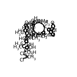 CC(=O)O.CC(=O)O[C@]1(C(C)=O)CC[C@H]2[C@@H]3C=C(C)C4=CC(=O)CC[C@]4(C)[C@H]3CC[C@@]21C.CN(CCCl)CCCl.COc1cc2cc(c1Cl)N(C)C(=O)C[C@H](OC(=O)[C@H](C)N(C)C(C)=O)[C@]1(C)O[C@H]1[C@H](C)[C@@H]1C[C@@](O)(NC(=O)O1)[C@H](OC)/C=C\C=C(\C)C2.C[C@H](Cc1ccc(O)c(O)c1)[C@@H](C)Cc1ccc(O)c(O)c1.Cl.O=C1C=CC(=O)C(c2cccc3cc4ccccc4cc23)=C1